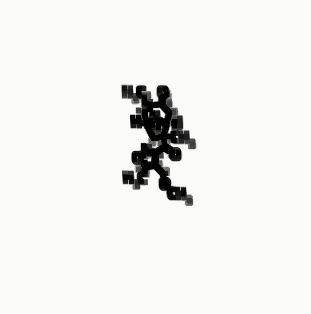 COCc1c(C(=O)C2(C)C[C@@H]3CN(C)C(=O)C[C@@H]2N3)noc1C